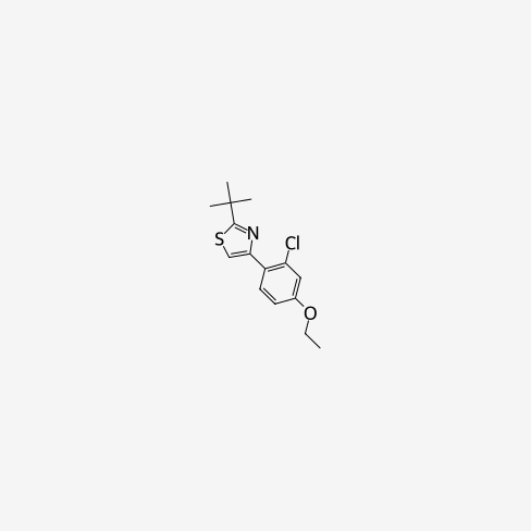 CCOc1ccc(-c2csc(C(C)(C)C)n2)c(Cl)c1